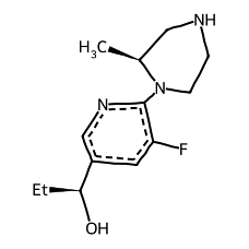 CC[C@H](O)c1cnc(N2CCNC[C@@H]2C)c(F)c1